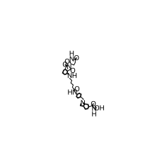 O=C1CCC(N2C(=O)c3cccc(NCCCCCC(=O)Nc4ccc(Cn5ccc6ccc(C(=O)NO)cc65)cc4)c3C2=O)C(=O)N1